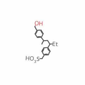 CCC(CC(C)c1ccc(CO)cc1)c1ccc(CS(=O)(=O)O)cc1